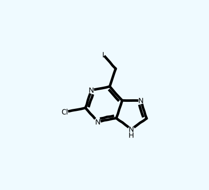 Clc1nc(CI)c2nc[nH]c2n1